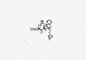 CSNC(=O)c1nc(N(CCc2ccsc2)Cc2ccccc2)sc1C